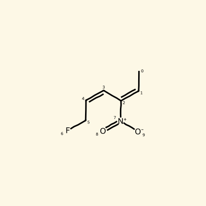 C/C=C(\C=C/CF)[N+](=O)[O-]